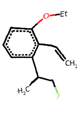 [CH2]C(CF)c1cccc(OCC)c1C=C